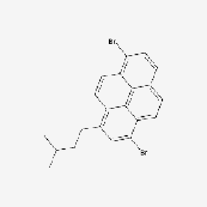 CC(C)CCc1cc(Br)c2ccc3ccc(Br)c4ccc1c2c34